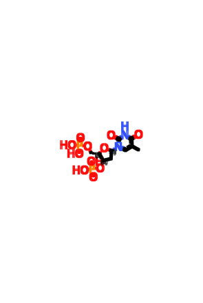 Cc1cn([C@H]2C[C@@H](OP(=O)(O)O)[C@H](COP(=O)(O)O)O2)c(=O)[nH]c1=O